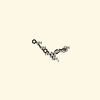 Nc1nc(NCC2CCC(CNCCCNC3CCCCC3)CC2)nc(N2CCN(CCCP(=O)(O)O)CC2)n1